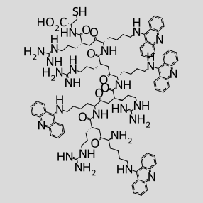 N=C(N)NCCC[C@@H](CC(=O)[C@H](CCCCNc1c2ccccc2nc2ccccc12)NC(=O)[C@@H](CCCNC(=N)N)CC(=O)[C@H](CCCCNc1c2ccccc2nc2ccccc12)NC(=O)[C@@H](CCCNC(=N)N)CC(=O)[C@H](CCCCNc1c2ccccc2nc2ccccc12)NC(=O)[C@@H](CCCNC(=N)N)CC(=O)[C@@H](N)CCCCNc1c2ccccc2nc2ccccc12)C(=O)N[C@@H](CS)C(=O)O